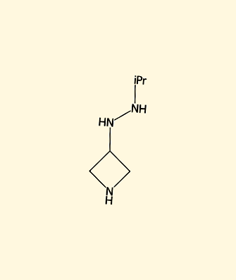 CC(C)NNC1CNC1